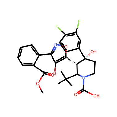 COC(=O)c1ccccc1-c1noc([C@H]2C(C(C)(C)C)N(C(=O)O)CC[C@]2(O)c2ccc(F)c(F)c2)c1Br